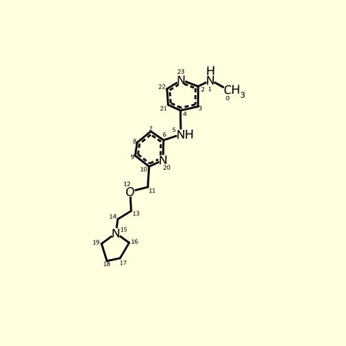 CNc1cc(Nc2cccc(COCCN3CCCC3)n2)ccn1